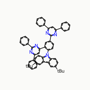 CC(C)(C)c1ccc2c(c1)c1cc(C(C)(C)C)ccc1n2-c1ccc(-c2nc(-c3ccccc3)cc(-c3ccccc3)n2)cc1-c1cc(-c2ccccc2)nc(-c2ccccc2)n1